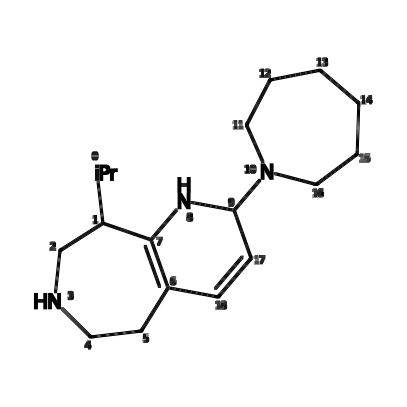 CC(C)C1CNCCC2=C1NC(N1CCCCCC1)C=C2